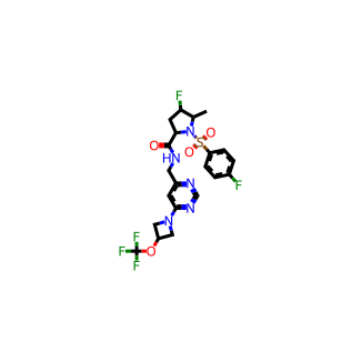 CC1C(F)CC(C(=O)NCc2cc(N3CC(OC(F)(F)F)C3)ncn2)N1S(=O)(=O)c1ccc(F)cc1